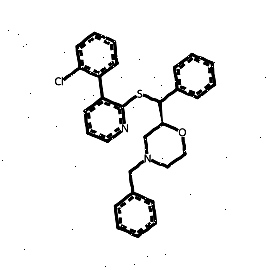 Clc1ccccc1-c1cccnc1SC(c1ccccc1)[C@@H]1CN(Cc2ccccc2)CCO1